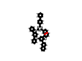 c1ccc(-c2ccc(-c3nc(-c4ccccc4)nc(-n4c5ccccc5c5cc6c7ccccc7n(-c7cc(-c8ccc9ccccc9c8)c8oc9ccccc9c8c7)c6cc54)n3)cc2)cc1